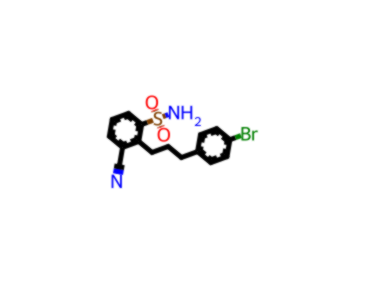 N#Cc1cccc(S(N)(=O)=O)c1CCCc1ccc(Br)cc1